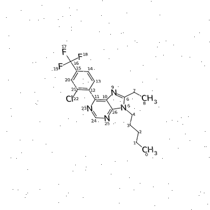 CCCCCn1c(CC)nc2c(-c3ccc(C(F)(F)F)cc3Cl)ncnc21